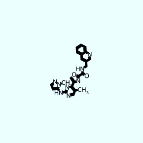 Cc1cnc(Nc2ccnn2C)nc1-c1coc(C(=O)NCc2cnc3ccccc3c2)n1